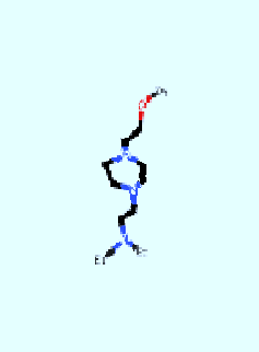 CCN(CC)CCN1CCN(CCOC(C)C)CC1